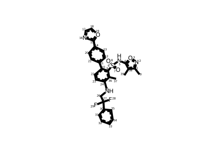 Cc1noc(NS(=O)(=O)c2c(-c3ccc(-c4ncco4)cc3)ccc(NCC(F)(F)c3ccccc3)c2C)c1C